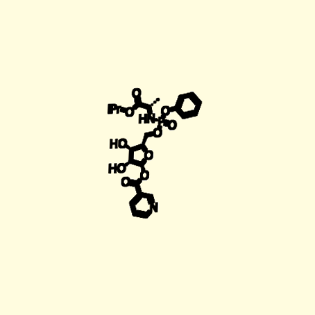 CC(C)OC(=O)[C@H](C)N[P@](=O)(OC[C@H]1O[C@@H](OC(=O)c2cccnc2)[C@H](O)[C@@H]1O)Oc1ccccc1